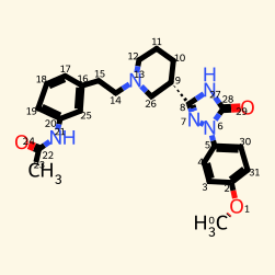 COc1ccc(-n2nc([C@H]3CCCN(CCc4cccc(NC(C)=O)c4)C3)[nH]c2=O)cc1